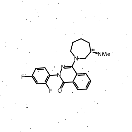 CN[C@@H]1CCCCN(c2nn(-c3ccc(F)cc3F)c(=O)c3ccccc23)C1